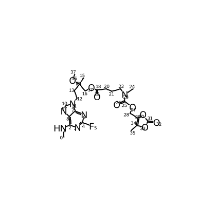 CNc1nc(F)nc2c1ncn2CC[C@@](C)(COC(=O)CCCN(C)C(=O)OCc1oc(=O)oc1C)OC